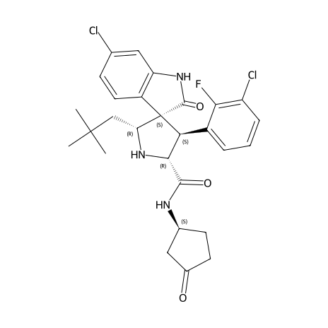 CC(C)(C)C[C@H]1N[C@@H](C(=O)N[C@H]2CCC(=O)C2)[C@H](c2cccc(Cl)c2F)[C@@]12C(=O)Nc1cc(Cl)ccc12